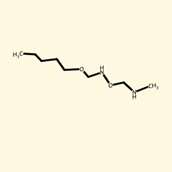 CCCCCOCNOCNC